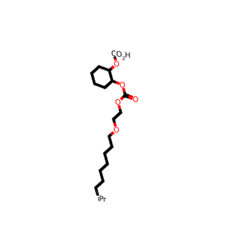 CC(C)CCCCCCCOCCOC(=O)OC1CCCCC1OC(=O)O